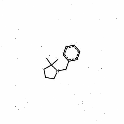 CC1(C)CCCN1Cc1ccccc1